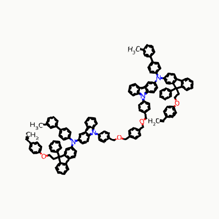 C=Cc1ccc(OCCC2(c3ccccc3)c3ccccc3-c3ccc(N(c4ccc(-c5cccc(C)c5)cc4)c4ccc5c(c4)c4ccccc4n5-c4ccc(COCc5ccc(COCc6ccc(-n7c8ccccc8c8cc(N(c9ccc(-c%10cccc(C)c%10)cc9)c9ccc%10c(c9)C(CCOc9ccc(C=C)cc9)(c9ccccc9)c9ccccc9-%10)ccc87)cc6)cc5)cc4)cc32)cc1